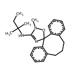 CCC(C)(C)NC1=NC2(ON1C)c1ccccc1CCCc1ccccc12